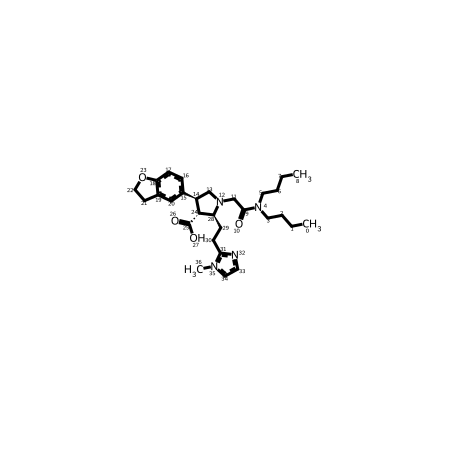 CCCCN(CCCC)C(=O)CN1C[C@H](c2ccc3c(c2)CCO3)[C@@H](C(=O)O)[C@@H]1CCc1nccn1C